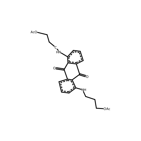 CC(=O)OCCCNc1cccc2c1C(=O)c1cccc(NCCCOC(C)=O)c1C2=O